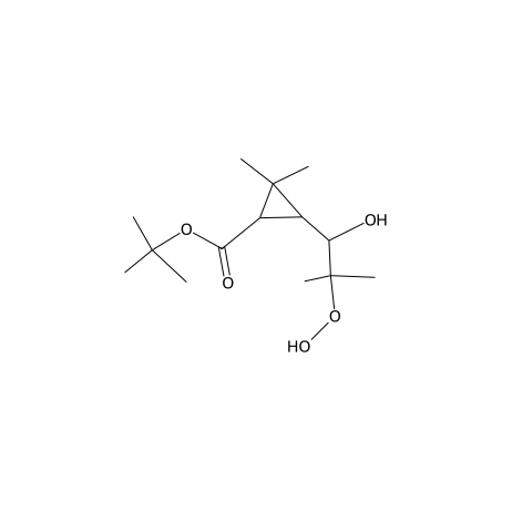 CC(C)(C)OC(=O)C1C(C(O)C(C)(C)OO)C1(C)C